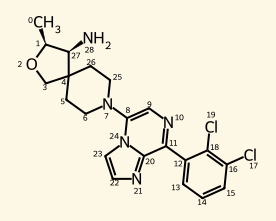 C[C@@H]1OCC2(CCN(c3cnc(-c4cccc(Cl)c4Cl)c4nccn34)CC2)[C@@H]1N